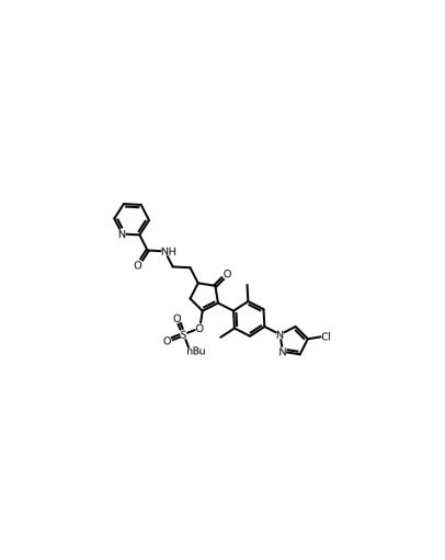 CCCCS(=O)(=O)OC1=C(c2c(C)cc(-n3cc(Cl)cn3)cc2C)C(=O)C(CCNC(=O)c2ccccn2)C1